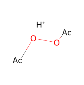 CC(=O)OOC(C)=O.[H+]